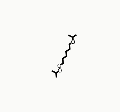 CC(C)OCCCCCCOOC(C)C